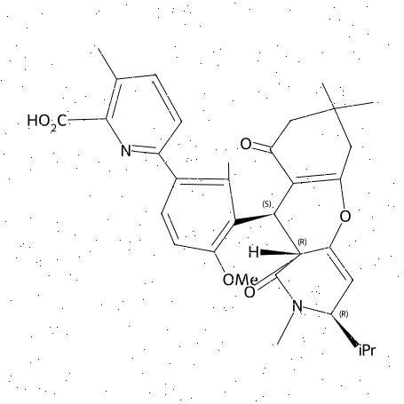 COc1ccc(-c2ccc(C)c(C(=O)O)n2)c(C)c1[C@H]1C2=C(CC(C)(C)CC2=O)OC2=C[C@@H](C(C)C)N(C)C(=O)[C@@H]21